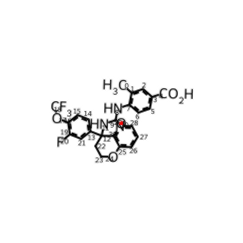 Cc1cc(C(=O)O)ccc1NC(=O)NC1(c2ccc(OC(F)(F)F)c(F)c2)CCOc2cccnc21